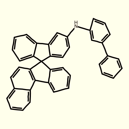 c1ccc(-c2cccc(Nc3ccc4c(c3)-c3ccccc3C43c4ccccc4-c4c3ccc3ccccc43)c2)cc1